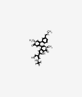 CSCc1cccc(-c2cn(C)c(=O)cc2-c2cn(C)c(=O)c3[nH]c(/C(C=N)=C/NC(F)(F)F)cc23)c1